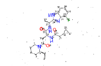 CC[C@H]1CCCCN1C(=O)C[C@H](NC(=O)CC1CC1)C(=O)N[C@@H](C)c1nc2c(F)cccc2[nH]1